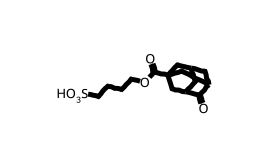 O=C1C2CC3CC1CC(C(=O)OCCCCS(=O)(=O)O)(C3)C2